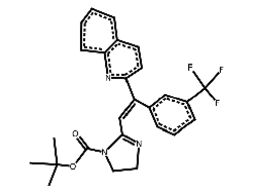 CC(C)(C)OC(=O)N1CCN=C1C=C(c1cccc(C(F)(F)F)c1)c1ccc2ccccc2n1